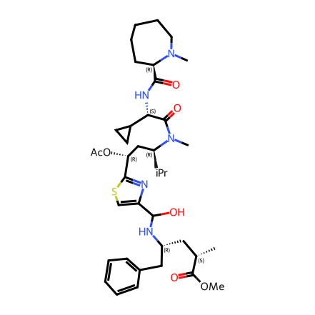 COC(=O)[C@@H](C)C[C@H](Cc1ccccc1)NC(O)c1csc([C@@H](C[C@H](C(C)C)N(C)C(=O)[C@@H](NC(=O)[C@H]2CCCCCN2C)C2CC2)OC(C)=O)n1